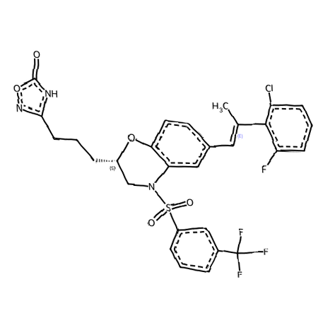 C/C(=C\c1ccc2c(c1)N(S(=O)(=O)c1cccc(C(F)(F)F)c1)C[C@H](CCCc1noc(=O)[nH]1)O2)c1c(F)cccc1Cl